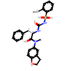 COc1ccccc1S(=O)(=O)NC(=O)N[C@@H](Cc1ccccc1)C(=O)N(C)c1ccc2c(c1)CCO2